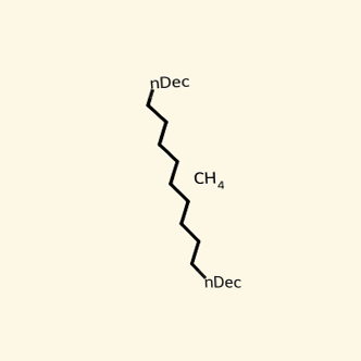 C.CCCCCCCCCCCCCCCCCCCCCCCCCCCCC